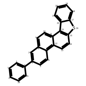 c1ccc(-c2ccc3c(ccc4c3ccc3sc5ccccc5c34)c2)cc1